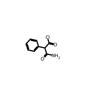 NC(=O)C(C(=O)Cl)c1ccccc1